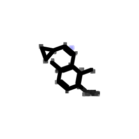 COc1ccc(C)c(/C=C\C2CC2)c1C